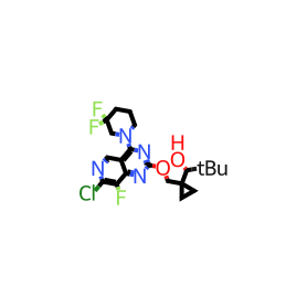 CC(C)(C)C(O)C1(COc2nc(N3CCCC(F)(F)C3)c3cnc(Cl)c(F)c3n2)CC1